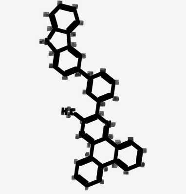 Cc1nc2c3ccccc3c3ccccc3c2nc1-c1cccc(-c2ccc3sc4ccccc4c3c2)c1